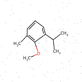 COc1c(C)cccc1[C](C)C